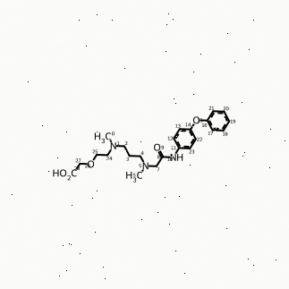 CN(CCCN(C)CC(=O)Nc1ccc(Oc2ccccc2)cc1)CCOCC(=O)O